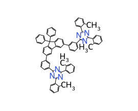 Cc1ccccc1-c1nc(-c2cccc(-c3ccc4c(c3)-c3cc(-c5cccc(-c6nc(-c7ccccc7C)nc(-c7ccccc7C)n6)c5)ccc3C4(c3ccccc3)c3ccccc3)c2)nc(-c2ccccc2C)n1